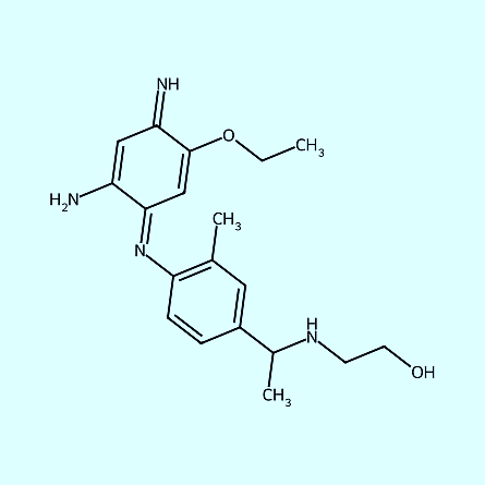 CCOC1=CC(=Nc2ccc(C(C)NCCO)cc2C)C(N)=CC1=N